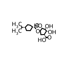 CC(C)[C@H]1CC[C@H](C(=O)OC2C[C@H](C(=O)O)[C@@H](O)[C@H](O)[C@H]2O)CC1